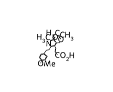 COc1ccc(CCc2nc(C)c3c(c2/C=C/C(=O)O)COC(C)(C)O3)cc1